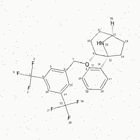 FC(F)(F)c1cc(CO[C@@H]2CC[C@H]3CC[C@]2(c2ccccc2)N3)cc(C(F)(F)F)c1